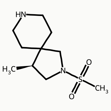 C[C@@H]1CN(S(C)(=O)=O)CC12CCNCC2